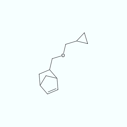 C1=CC2CC1CC2COCC1CC1